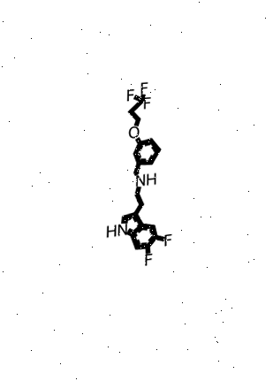 Fc1cc2[nH]cc(CCNCc3cccc(OCCC(F)(F)F)c3)c2cc1F